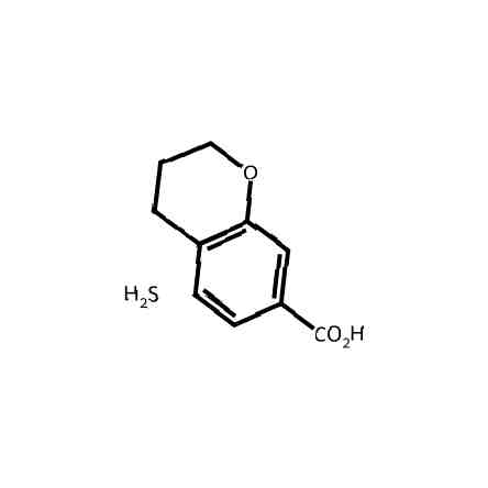 O=C(O)c1ccc2c(c1)OCCC2.S